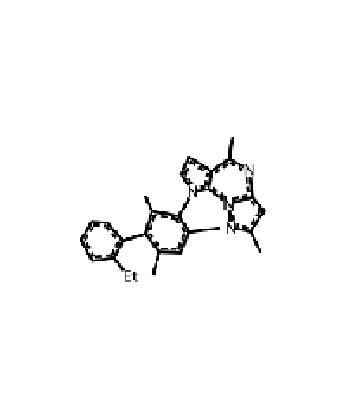 CCc1ccccc1-c1c(C)cc(C)c(-n2ccc3c(C)nc4cc(C)nn4c32)c1C